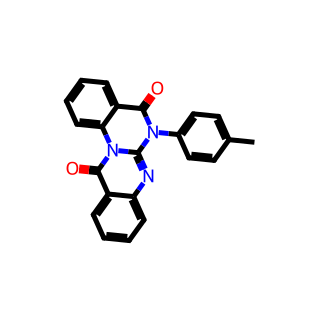 Cc1ccc(-n2c(=O)c3ccccc3n3c(=O)c4ccccc4nc23)cc1